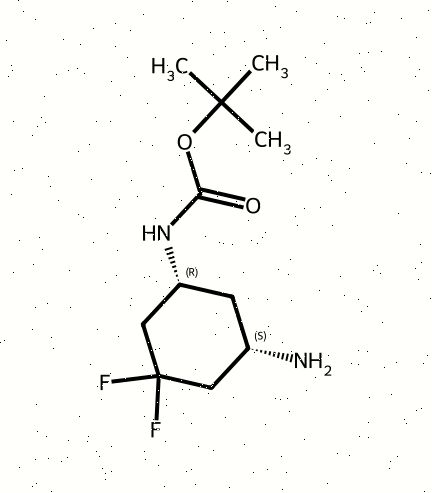 CC(C)(C)OC(=O)N[C@@H]1C[C@H](N)CC(F)(F)C1